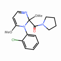 COC1=CC=NC(OC)(C(=O)N2CCCC2)N1c1ccccc1Cl